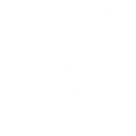 CC1CCC(N(C2CCC(COC3CCCCO3)CC2)C2CCC(COC3CCCCO3)CC2)CC1